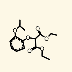 CCOC(=O)C(Oc1ccccc1OC(C)C)C(=O)OCC